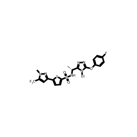 CCn1c(Oc2ccc(F)cc2)nnc1[C@@H](C)NS(=O)(=O)c1ccc(-c2cc(C(F)(F)F)n(C)n2)s1